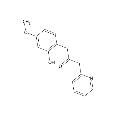 COc1ccc(CC(=O)Cc2ccccn2)c(O)c1